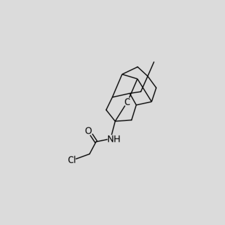 CC12CC3C4CC5(NC(=O)CCl)CC3C(C1)C(C5)C4C2